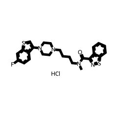 CN(CCCCN1CCN(c2csc3cc(F)ccc23)CC1)C(=O)c1nsc2ccccc12.Cl